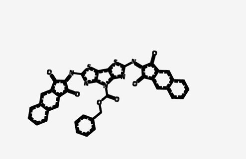 O=C(OCc1ccccc1)n1c2nc(N=c3c(=O)c4cc5ccccc5cc4c3=O)sc2c2sc(N=c3c(=O)c4cc5ccccc5cc4c3=O)nc21